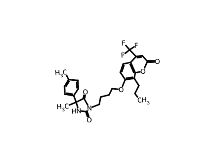 CCCc1c(OCCCCN2C(=O)NC(C)(c3ccc(C)cc3)C2=O)ccc2c(C(F)(F)F)cc(=O)oc12